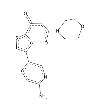 Nc1ccc(-c2csc3c(=O)cc(N4CCOCC4)oc23)cn1